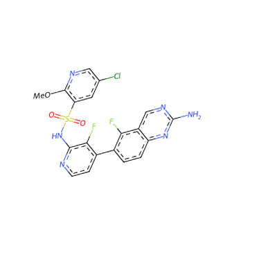 COc1ncc(Cl)cc1S(=O)(=O)Nc1nccc(-c2ccc3nc(N)ncc3c2F)c1F